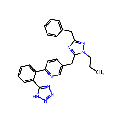 CCCn1nc(Cc2ccccc2)nc1Cc1ccc(-c2ccccc2-c2nnn[nH]2)nc1